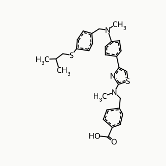 CC(C)CSc1ccc(CN(C)c2ccc(-c3csc(N(C)Cc4ccc(C(=O)O)cc4)n3)cc2)cc1